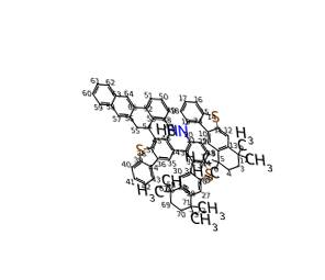 CC1(C)CCC(C)(C)c2cc3c(cc21)sc1cccc(Nc2ccc4sc5cc6c(cc5c4c2-c2cc4c(sc5ccccc54)c4c2Bc2cccc5c2C4Cc2cc4ccccc4cc2-5)C(C)(C)CCC6(C)C)c13